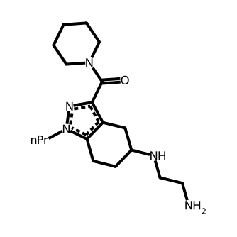 CCCn1nc(C(=O)N2CCCCC2)c2c1CCC(NCCN)C2